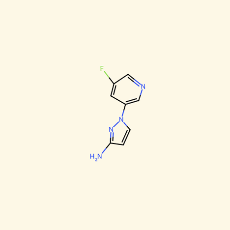 Nc1ccn(-c2cncc(F)c2)n1